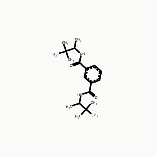 CC(NC(=O)c1cccc(C(=O)NC(C)C(C)(C)C)c1)C(C)(C)C